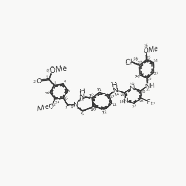 COC(=O)c1ccc(CN2Cc3ccc(Nc4ncc(F)c(Nc5ccc(OC)c(Cl)c5)n4)cc3N2)c(OC)c1